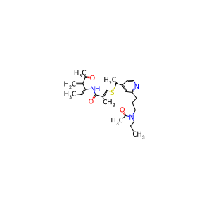 C=C(C(C)=O)/C(=C\C)NC(=O)/C(C)=C/SC(=C)c1ccnc(CCCN(CCC)C(C)=O)c1